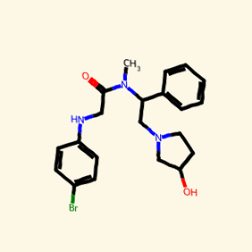 CN(C(=O)CNc1ccc(Br)cc1)C(CN1CCC(O)C1)c1ccccc1